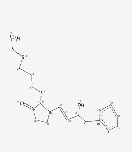 O=C(O)CSCCCS[C@H]1C(=O)CCC1/C=C/C(O)Cc1ccccc1